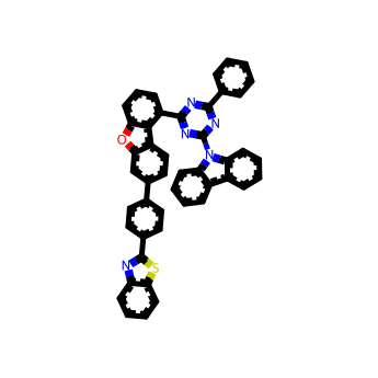 c1ccc(-c2nc(-c3cccc4oc5cc(-c6ccc(-c7nc8ccccc8s7)cc6)ccc5c34)nc(-n3c4ccccc4c4ccccc43)n2)cc1